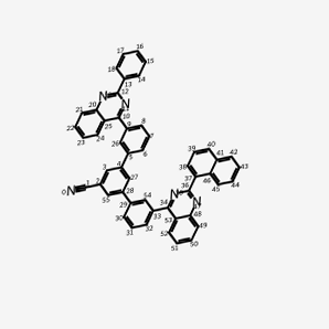 N#Cc1cc(-c2cccc(-c3nc(-c4ccccc4)nc4ccccc34)c2)cc(-c2cccc(-c3nc(-c4cccc5ccccc45)nc4ccccc34)c2)c1